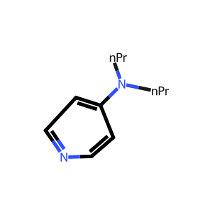 CCCN(CCC)c1ccncc1